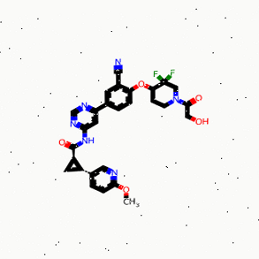 COc1ccc([C@@H]2C[C@H]2C(=O)Nc2cc(-c3ccc(OC4CCN(C(=O)CO)CC4(F)F)c(C#N)c3)ncn2)cn1